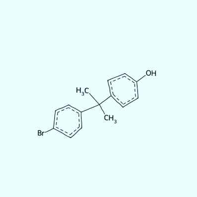 CC(C)(c1ccc(O)cc1)c1ccc(Br)cc1